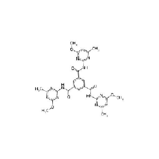 COc1cc(C)nc(NC(=O)c2cc(C(=O)Nc3nc(C)cc(OC)n3)cc(C(=O)Nc3nc(C)cc(OC)n3)c2)n1